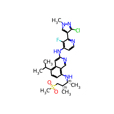 CC(C)c1ccc(N[C@H](C)[C@H](C)CS(C)(=O)=O)c2cnc(Nc3ccnc(-c4cn(C)nc4Cl)c3F)cc12